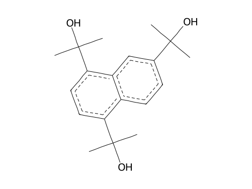 CC(C)(O)c1ccc2c(C(C)(C)O)ccc(C(C)(C)O)c2c1